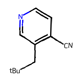 CC(C)(C)Cc1cnccc1C#N